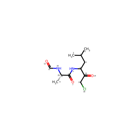 CC(C)CC(NC(=O)[C@H](C)NC=O)C(=O)CCl